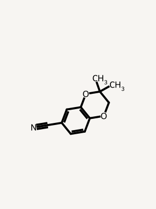 CC1(C)COc2ccc(C#N)cc2O1